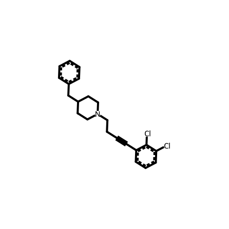 Clc1cccc(C#CCCN2CCC(Cc3ccccc3)CC2)c1Cl